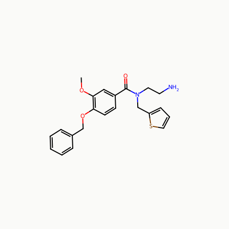 COc1cc(C(=O)N(CCN)Cc2cccs2)ccc1OCc1ccccc1